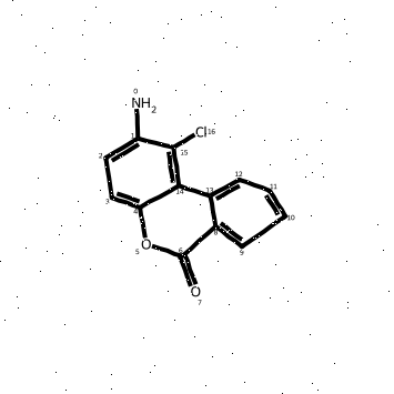 Nc1ccc2oc(=O)c3ccccc3c2c1Cl